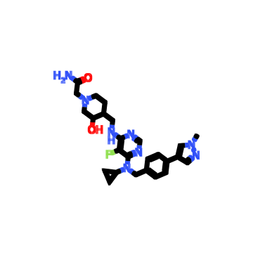 Cn1cc(-c2ccc(CN(c3ncnc(NCC4CCN(CC(N)=O)CC4O)c3F)C3CC3)cc2)cn1